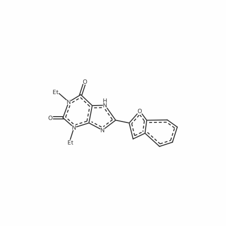 CCn1c(=O)c2[nH]c(-c3cc4ccccc4o3)nc2n(CC)c1=O